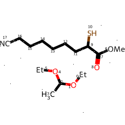 CCOC(C)OCC.COC(=O)C(S)CCCCCCC#N